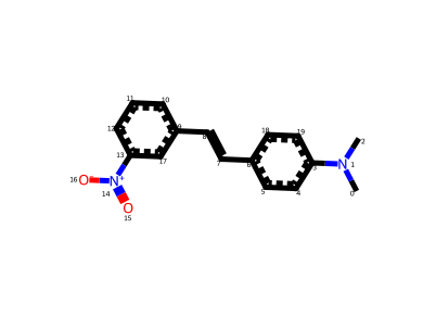 CN(C)c1ccc(/C=C/c2cccc([N+](=O)[O-])c2)cc1